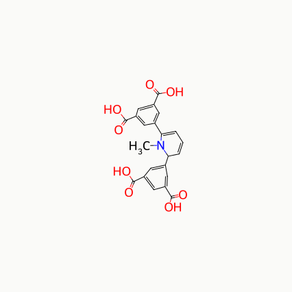 CN1C(c2cc(C(=O)O)cc(C(=O)O)c2)=CC=CC1c1cc(C(=O)O)cc(C(=O)O)c1